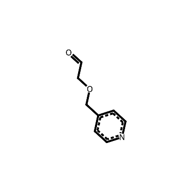 O=CCOCc1ccncc1